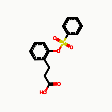 O=C(O)CCc1ccccc1OS(=O)(=O)c1ccccc1